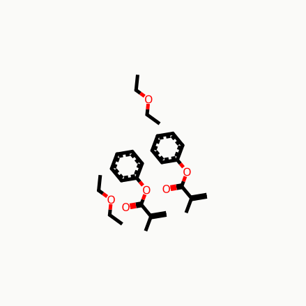 C=C(C)C(=O)Oc1ccccc1.C=C(C)C(=O)Oc1ccccc1.CCOCC.CCOCC